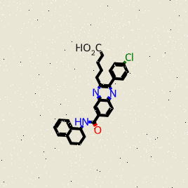 O=C(O)CCCCc1nc2cc(C(=O)NC3CCCc4ccccc43)ccc2nc1-c1ccc(Cl)cc1